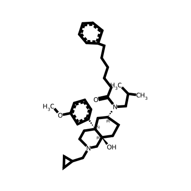 COc1cccc([C@@]23CCN(CC4CC4)C[C@@]2(O)CC[C@@H](N(CC(C)C)C(=O)CCCCCc2ccccc2)C3)c1